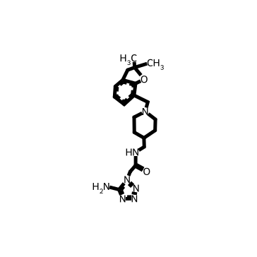 CC1(C)Cc2cccc(CN3CCC(CNC(=O)Cn4nnnc4N)CC3)c2O1